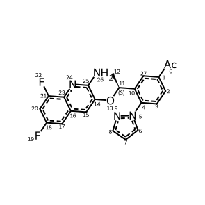 CC(=O)c1ccc(-n2cccn2)c([C@H](C)Oc2cc3cc(F)cc(F)c3nc2N)c1